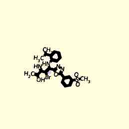 C=C(O)C(=N)/C(Br)=C(\Nc1ccccc1C(C)C)c1nnc(-c2cccc(S(C)(=O)=O)c2)o1